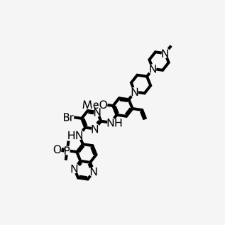 C=Cc1cc(Nc2ncc(Br)c(Nc3ccc4nccnc4c3P(C)(C)=O)n2)c(OC)cc1N1CCC(N2CCN(C)CC2)CC1